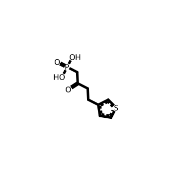 O=C(CCc1ccsc1)CP(=O)(O)O